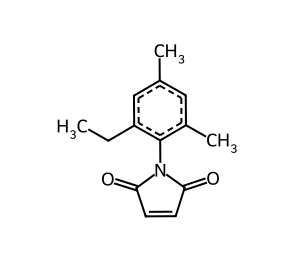 CCc1cc(C)cc(C)c1N1C(=O)C=CC1=O